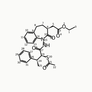 CCOC(=O)C[C@@H]1CCc2ccccc2N(NC(=O)[C@@H](SC(C)=O)[C@@H](C)c2ccccc2)C1=O